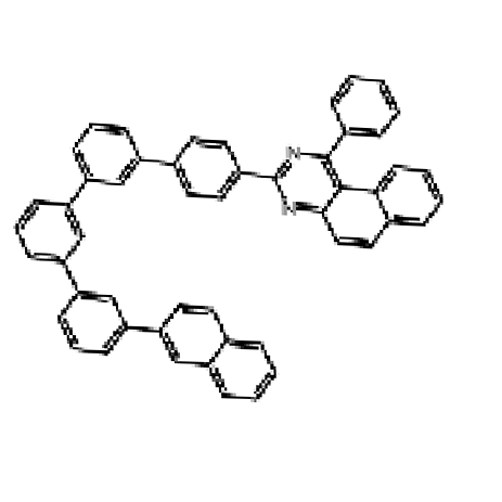 c1ccc(-c2nc(-c3ccc(-c4cccc(-c5cccc(-c6cccc(-c7ccc8ccccc8c7)c6)c5)c4)cc3)nc3ccc4ccccc4c23)cc1